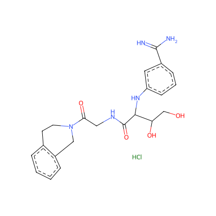 Cl.N=C(N)c1cccc(NC(C(=O)NCC(=O)N2CCc3ccccc3C2)C(O)CO)c1